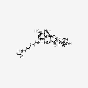 CC(=S)NCCCCCCNc1nc(S)c2ncn([C@@H]3O[C@H](COP(=O)(O)O)[C@H](O)C3O)c2n1